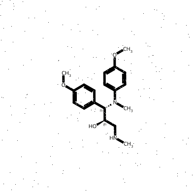 CNC[C@@H](O)[C@H](c1ccc(OC)cc1)N(C)c1ccc(OC)cc1